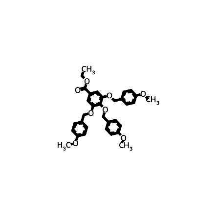 CCOC(=O)c1cc(OCc2ccc(OC)cc2)c(OCc2ccc(OC)cc2)c(OCc2ccc(OC)cc2)c1